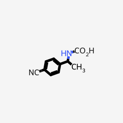 CC(NC(=O)O)c1ccc(C#N)cc1